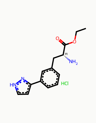 CCOC(=O)[C@H](N)Cc1cccc(-c2cc[nH]n2)c1.Cl